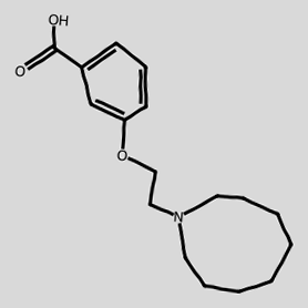 O=C(O)c1cccc(OCCN2CCCCCCCC2)c1